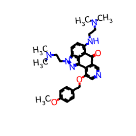 COc1ccc(COc2cncc3c2-c2nn(CCN(C)C)c4ccc(NCCN(C)C)c(c24)C3=O)cc1